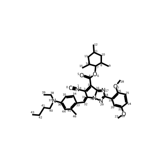 [C-]#[N+]c1c(C(=O)OC2C(C)CC(C)CC2C)c2nc(-c3cc(OC)ccc3OC)nn2/c1=C/c1ccc(N(CC)CCCC)cc1C